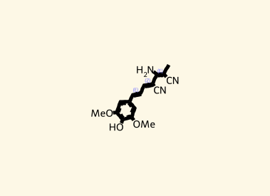 COc1cc(/C=C/C=C(C#N)/C(N)=C(/C)C#N)cc(OC)c1O